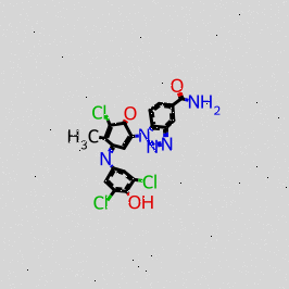 CC1=C(Cl)C(=O)C(n2nnc3cc(C(N)=O)ccc32)=CC1=Nc1cc(Cl)c(O)c(Cl)c1